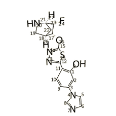 Oc1cc(-n2ccnc2)ccc1-c1nnc(O[C@@H]2[C@H]3CN[C@H](C3)[C@@H]2F)s1